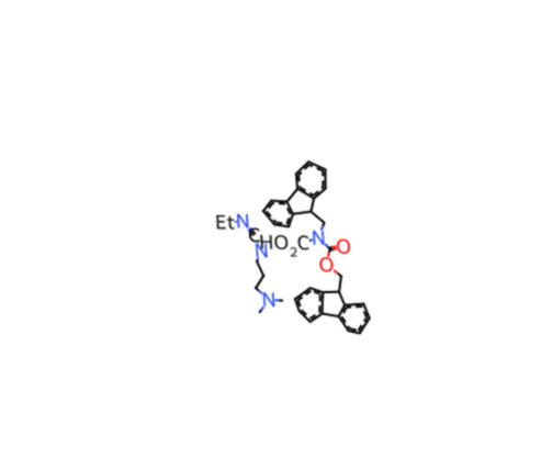 CCN=C=NCCCN(C)C.O=C(O)N(CC1c2ccccc2-c2ccccc21)C(=O)OCC1c2ccccc2-c2ccccc21